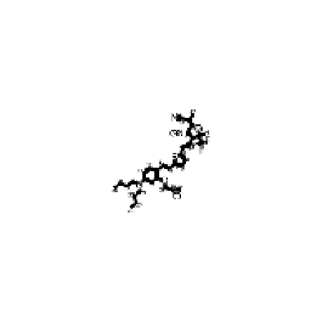 [C-]#[N+]C1=C(/C=C/c2ccc(/C=C/c3ccc(N(CCCC)CCCC)cc3OCC3CO3)s2)C(C)(C(F)(F)F)O/C1=C(\C)C#N